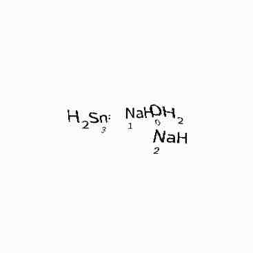 O.[NaH].[NaH].[SnH2]